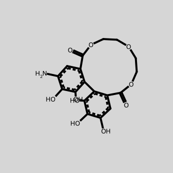 Nc1cc2c(c(O)c1O)-c1c(cc(O)c(O)c1O)C(=O)OCCOCCOC2=O